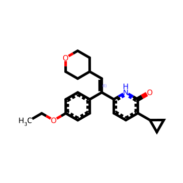 CCOc1ccc(/C(=C\C2CCOCC2)c2ccc(C3CC3)c(=O)[nH]2)cc1